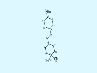 CCCCC1CCC(CCC2CCC(C#N)(CCC)CC2)CC1